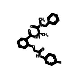 C[C@H](NC(=O)c1ccccc1OCC(=O)Nc1ccc(I)cc1)C(=O)N(C)Cc1ccccc1